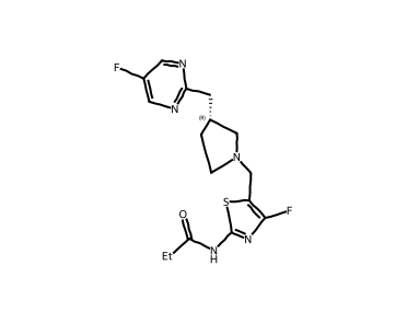 CCC(=O)Nc1nc(F)c(CN2CC[C@H](Cc3ncc(F)cn3)C2)s1